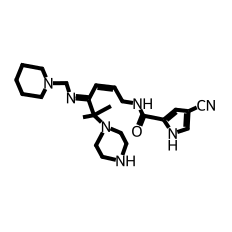 CC(C)(C(/C=C\CNC(=O)c1cc(C#N)c[nH]1)=N/CN1CCCCC1)N1CCNCC1